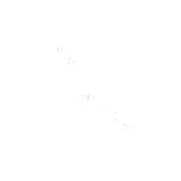 COC(=O)[C@@H](N)CCCNC(=O)c1ccc(N)cc1